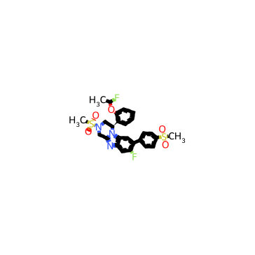 CC(F)Oc1ccccc1[C@H]1CN(S(C)(=O)=O)Cc2nc3cc(F)c(-c4ccc(S(C)(=O)=O)cc4)cc3n21